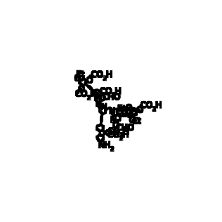 CCOc1cc(OCC(=O)O)c(C#Cc2cc(CN(COC=O)Cc3cc(C#Cc4ccc5c(c4)C(CC(=O)O)(CC(=O)O)c4cc(N)ccc4-5)cc(CN(CC(=O)O)Cc4cc(C#Cc5c(OCC)cc(OCC(=O)O)cc5OCC)cc(OC=O)n4)n3)nc(C(=O)O)c2)c(OCC(=O)O)c1